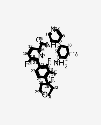 C[C@@H]1C[C@H](N)C[C@H](c2ccncc2NC(=O)c2ccc(F)c(-c3ccc(C4(F)CCOCC4)c(F)c3F)n2)C1